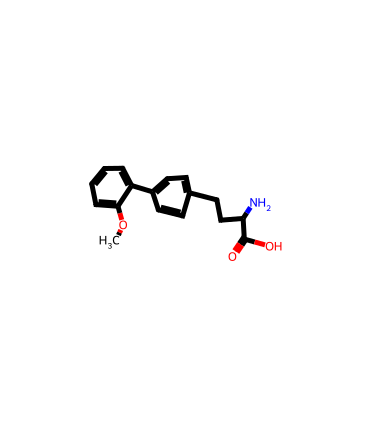 COc1ccccc1-c1ccc(CCC(N)C(=O)O)cc1